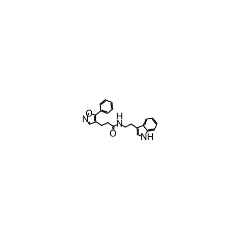 O=C(CCc1cnoc1-c1ccccc1)NCCc1c[nH]c2ccccc12